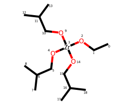 CC[O][Zr]([O]CC(C)C)([O]CC(C)C)[O]CC(C)C